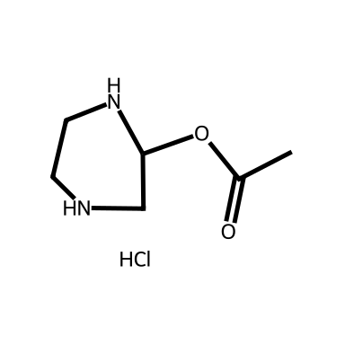 CC(=O)OC1CNCCN1.Cl